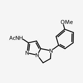 COc1cccc(N2CCn3nc(NC(C)=O)cc32)c1